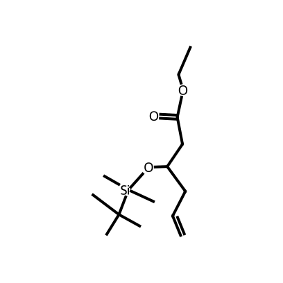 C=CCC(CC(=O)OCC)O[Si](C)(C)C(C)(C)C